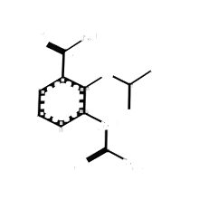 CC(C)Oc1c(NC(N)=S)cccc1C(N)=O